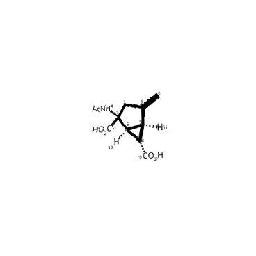 C=C1C[C@@](NC(C)=O)(C(=O)O)[C@H]2[C@@H]1[C@@H]2C(=O)O